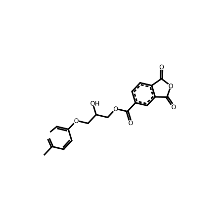 C=C(C)/C=C\C(=C/C)OCC(O)COC(=O)c1ccc2c(c1)C(=O)OC2=O